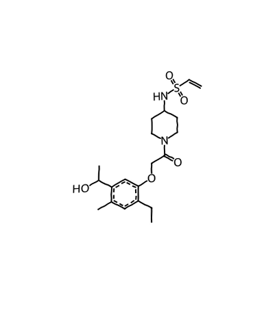 C=CS(=O)(=O)NC1CCN(C(=O)COc2cc(C(C)O)c(C)cc2CC)CC1